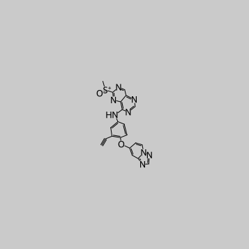 C#Cc1cc(Nc2ncnc3cnc([S+](C)[O-])nc23)ccc1Oc1ccn2ncnc2c1